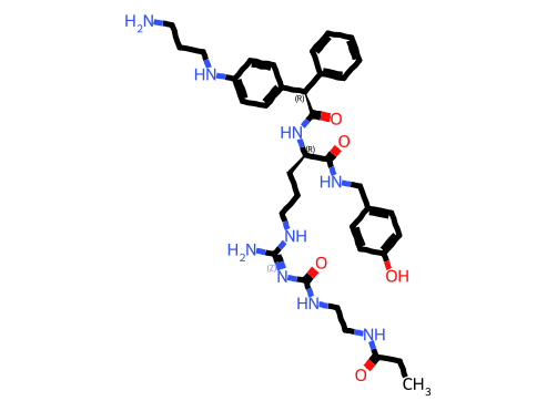 CCC(=O)NCCNC(=O)/N=C(/N)NCCC[C@@H](NC(=O)[C@H](c1ccccc1)c1ccc(NCCCN)cc1)C(=O)NCc1ccc(O)cc1